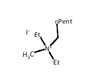 CCCCCC[N+](C)(CC)CC.[I-]